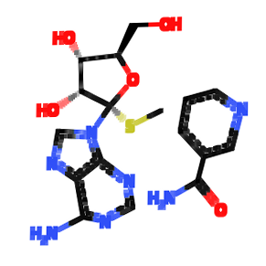 CS[C@@]1(n2cnc3c(N)ncnc32)O[C@H](CO)[C@@H](O)[C@H]1O.NC(=O)c1cccnc1